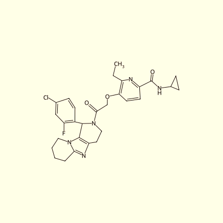 CCc1nc(C(=O)NC2CC2)ccc1OCC(=O)N1CCc2nc3n(c2C1c1ccc(Cl)cc1F)CCCC3